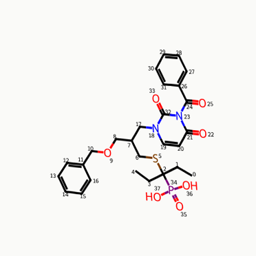 CCC(CC)(SCC(COCc1ccccc1)Cn1ccc(=O)n(C(=O)c2ccccc2)c1=O)P(=O)(O)O